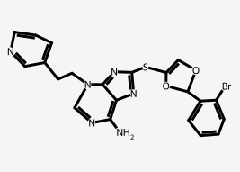 Nc1ncn(CCc2cccnc2)c2nc(SC3=COC(c4ccccc4Br)O3)nc1-2